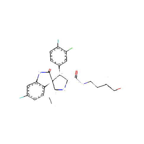 CC(C)(C)C[C@H]1N[C@@H](C(=O)NCC[C@H](O)CO)[C@H](c2ccc(F)c(Cl)c2)[C@@]12C(=O)Nc1cc(F)ccc12